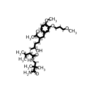 COCCCOc1cc(CC(CC[C@@H](O)C[C@H](C(=O)NCC(C)(C)C(N)=O)C(C)C)C(C)C)ccc1OC